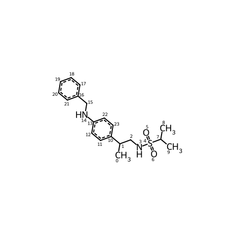 CC(CNS(=O)(=O)C(C)C)c1ccc(NCc2ccccc2)cc1